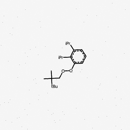 CC(C)c1cccc(OOCC(C)(C)C(C)(C)C)c1C(C)C